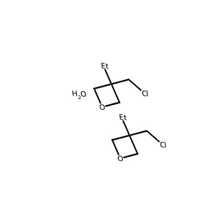 CCC1(CCl)COC1.CCC1(CCl)COC1.O